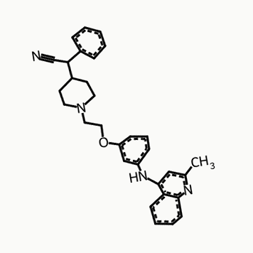 Cc1cc(Nc2cccc(OCCN3CCC(C(C#N)c4ccccc4)CC3)c2)c2ccccc2n1